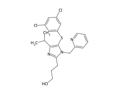 CC(C)c1nc(CCCO)n(Cc2ccccn2)c1Sc1cc(Cl)cc(Cl)c1